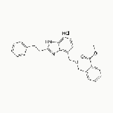 COC(=O)c1ccccc1COCc1cccc2[nH]c(CCc3ccccc3)nc12.Cl